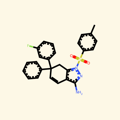 Cc1ccc(S(=O)(=O)n2nc(N)c3c2CC(c2ccccc2)(c2cccc(F)c2)C=C3)cc1